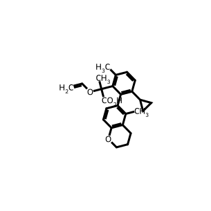 C=COC(C)(C(=O)O)c1c(C)ccc(C2CC2)c1-c1ccc2c(c1C)CCCO2